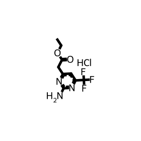 CCOC(=O)Cc1cc(C(F)(F)F)nc(N)n1.Cl